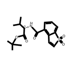 CC(C)[C@H](NC(=O)c1cccc2c1C=CS2(=O)=O)C(=O)OC(C)(C)C